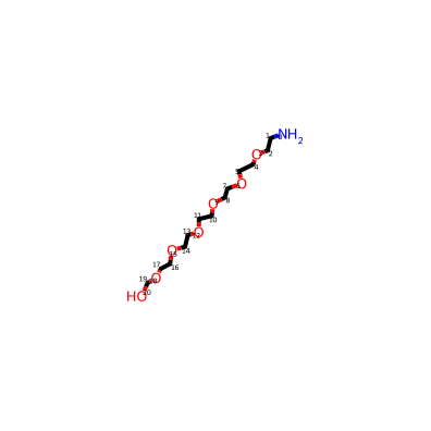 NCCOCCOCCOCCOCCOCCOCO